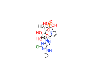 O=C(O)c1cccc(C[C@](OC[C@H]2O[C@@H](n3ncc4c(NC5CCCC5)nc(Cl)nc43)[C@H](O)[C@@H]2O)(C(=O)O)P(=O)(O)O)n1